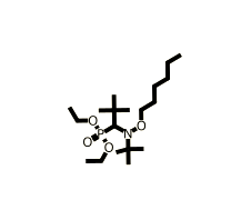 CCCCCCON(C(C(C)(C)C)P(=O)(OCC)OCC)C(C)(C)C